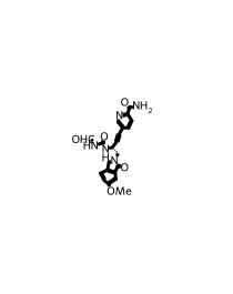 COc1ccc2c(c1)C(=O)N(C[C@@H](C#Cc1ccc(C(N)=O)nc1)NC(=O)NC=O)C2